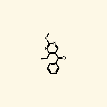 CCc1nc(SC)ncc1C(=O)c1ccccc1